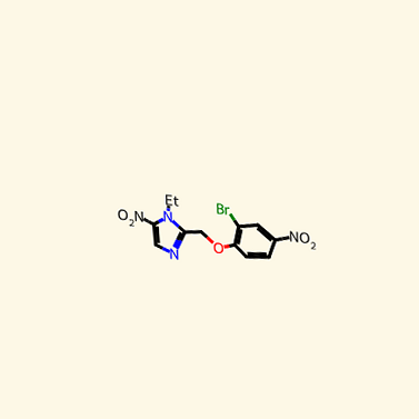 CCn1c([N+](=O)[O-])cnc1COc1ccc([N+](=O)[O-])cc1Br